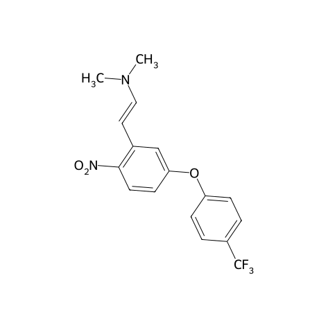 CN(C)C=Cc1cc(Oc2ccc(C(F)(F)F)cc2)ccc1[N+](=O)[O-]